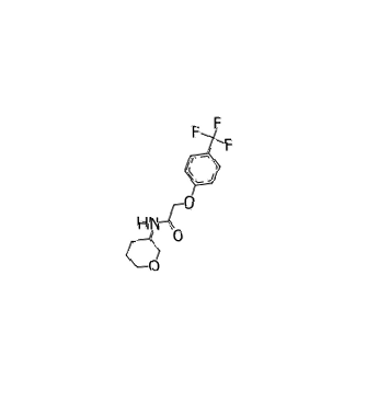 O=C(COc1ccc(C(F)(F)F)cc1)NC1CCCOC1